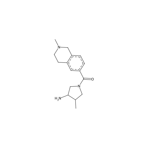 CC1CN(C(=O)c2ccc3c(c2)CCN(C)C3)CC1N